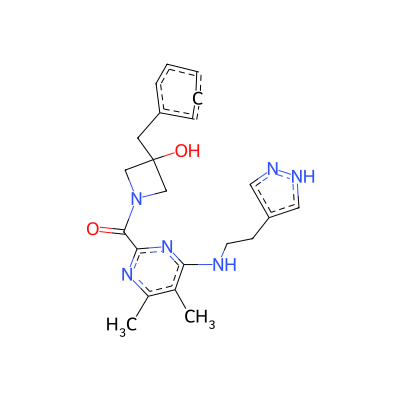 Cc1nc(C(=O)N2CC(O)(Cc3ccccc3)C2)nc(NCCc2cn[nH]c2)c1C